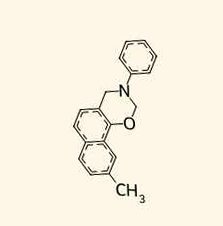 Cc1ccc2ccc3c(c2c1)OCN(c1ccccc1)C3